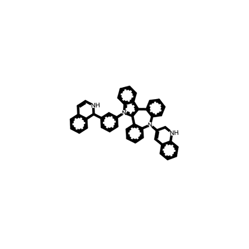 C1=Cc2ccccc2C(c2cccc(-n3c4c(c5ccccc53)-c3ccccc3N(C3=Cc5ccccc5NC3)c3ccccc3-4)c2)N1